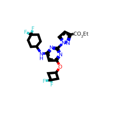 CCOC(=O)c1ccn(-c2nc(NC3CCC(F)(F)CC3)cc(OC3CC(F)(F)C3)n2)n1